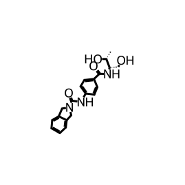 C[C@@H](O)[C@H](CO)NC(=O)c1ccc(NC(=O)N2Cc3ccccc3C2)cc1